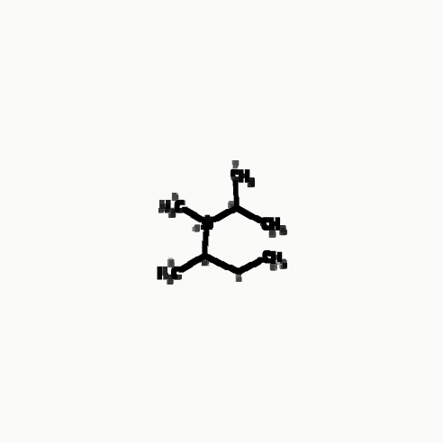 CCC(C)[Si](C)C(C)C